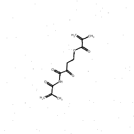 C=C(C)C(=O)NC(=O)C(=O)CCOC(=O)C(=C)C